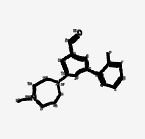 Cc1ccccc1-c1cc(C=O)cc(N2CCCN(C)CC2)c1